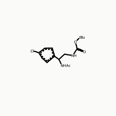 CC(=O)NC(CNC(=O)OC(C)(C)C)c1ccc(Cl)cc1